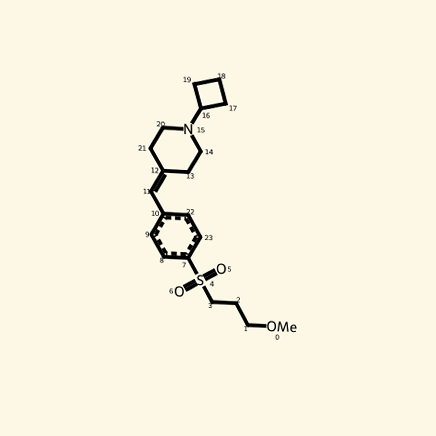 COCCCS(=O)(=O)c1ccc(C=C2CCN(C3CCC3)CC2)cc1